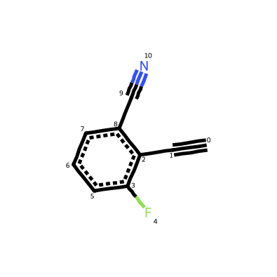 C#Cc1c(F)cccc1C#N